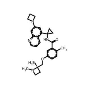 Cc1ccc(OC[C@]2([SiH3])CCN2C)cc1C(=O)NC1(c2cc(N3CCC3)cc3ncccc23)CC1